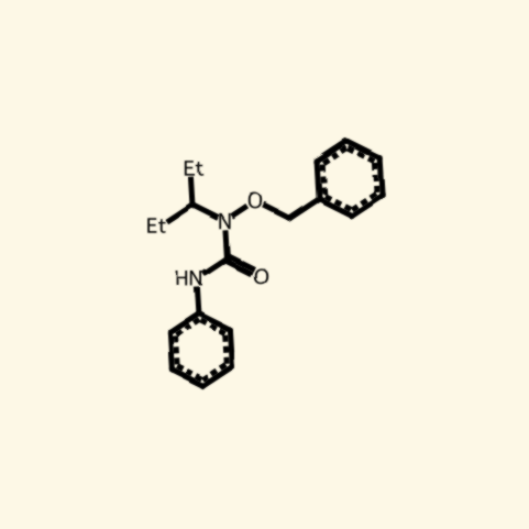 CCC(CC)N(OCc1ccccc1)C(=O)Nc1ccccc1